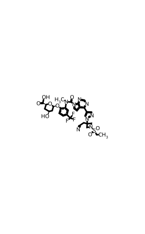 CCS(=O)(=O)N1CC(CC#N)(n2cc(-c3ncnc4c3ccn4C(=O)N(C)c3cc(C(F)(F)F)ccc3O[C@H]3C[C@@H](O)C[C@@H](C(=O)O)O3)cn2)C1